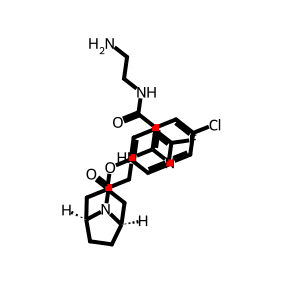 NCCNC(=O)c1cc(Cl)cnc1NCC(=O)N1[C@@H]2CC[C@H]1CC(Oc1ccc(F)cc1)C2